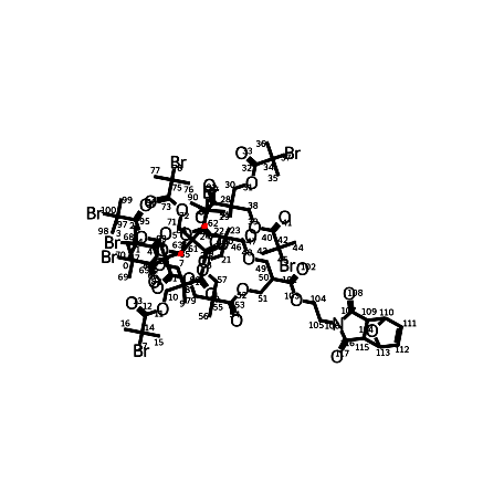 CC(C)(Br)C(=O)OCC(C)(COC(=O)C(C)(C)Br)C(=O)OCC(C)(COC(=O)C(C)(COC(=O)C(C)(C)Br)COC(=O)C(C)(C)Br)C(=O)OCC(COC(=O)C(C)(COC(=O)C(C)(COC(=O)C(C)(C)Br)COC(=O)C(C)(C)Br)COC(=O)C(C)(COC(=O)C(C)(C)Br)COC(=O)C(C)(C)Br)C(=O)OCCN1C(=O)C2C3C=CC(O3)C2C1=O